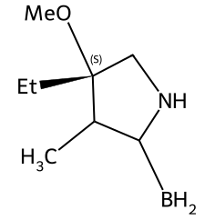 BC1NC[C@@](CC)(OC)C1C